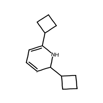 [C]1=CC=C(C2CCC2)NC1C1CCC1